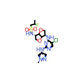 CC(F)CS(=O)(=O)N[C@H]1COC2C1OC[C@H]2Nc1nc(Nc2cnn(C)c2)ncc1Cl